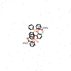 COC(=O)C(C)Oc1c(Cl)ccc(P(=O)(c2ccccc2)c2ccccc2)c1-c1c(P(=O)(c2ccccc2)c2ccccc2)ccc(Cl)c1OC(C)C(=O)OC